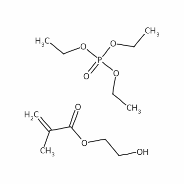 C=C(C)C(=O)OCCO.CCOP(=O)(OCC)OCC